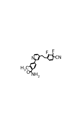 Cc1cc(-c2cc(CCc3ccc(C#N)c(F)c3F)ccn2)ccc1C(N)=O